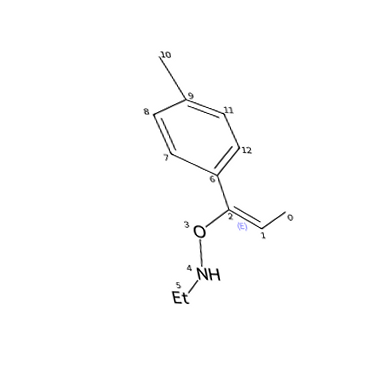 C/C=C(/ONCC)c1ccc(C)cc1